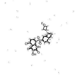 O=c1[nH]c2c(S(=O)(=O)c3cc(F)c4cnn([C@H]5C[C@H](F)C5)c4c3)ccc(Cl)c2c(=O)n1O